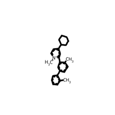 Cc1ccccc1-c1ccc(C)c(-c2cc(C3CCCCC3)cc[n+]2C)c1